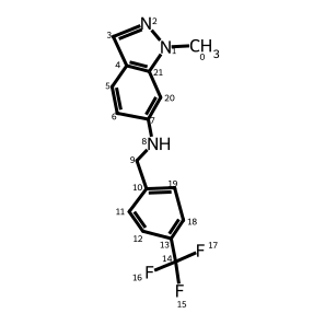 Cn1ncc2ccc(NCc3ccc(C(F)(F)F)cc3)cc21